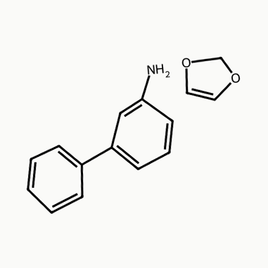 C1=COCO1.Nc1cccc(-c2ccccc2)c1